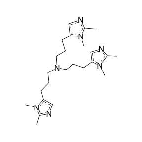 Cc1ncc(CCCN(CCCc2cnc(C)n2C)CCCc2cnc(C)n2C)n1C